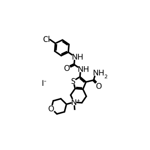 C[N+]1(C2CCOCC2)CCc2c(sc(NC(=O)Nc3ccc(Cl)cc3)c2C(N)=O)C1.[I-]